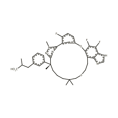 CC(Cc1cccc([C@@]2(C)CCCC(C)(C)CSCCc3c(c(F)c(F)c4[nH]cnc34)Oc3ccc(F)c(c3)-c3nc2nn3C)c1)C(=O)O